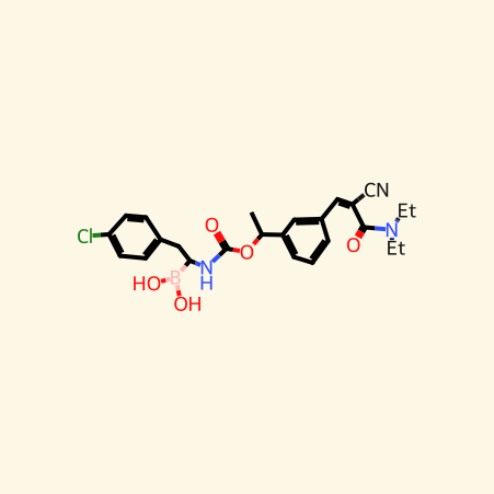 CCN(CC)C(=O)C(C#N)=Cc1cccc(C(C)OC(=O)NC(Cc2ccc(Cl)cc2)B(O)O)c1